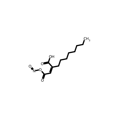 CCCCCCCC/C(=C/C(=O)ON=O)C(=O)O